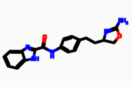 NC1=NC(CCc2ccc(NC(=O)c3nc4ccccc4[nH]3)cc2)CO1